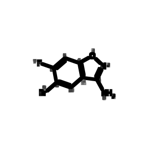 Nc1noc2cc(F)c(Br)cc12